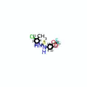 Cc1cc(NC(=S)Nc2ccc3c(c2)OC(F)(F)O3)ccc1Cl